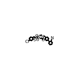 N#Cc1ccccc1-c1ccc(CN2CCN(S(=O)(=O)c3cc4ccc(Cl)cc4s3)CC2=O)cc1